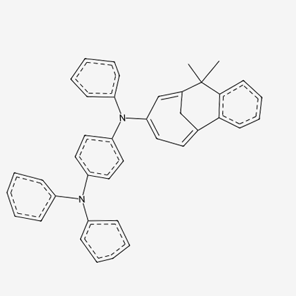 CC1(C)C2=CC(N(c3ccccc3)c3ccc(N(c4ccccc4)c4ccccc4)cc3)=CC=C(C2)c2ccccc21